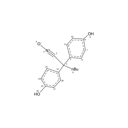 CCCCC(C#[N+][O-])(c1ccc(O)cc1)c1ccc(O)cc1